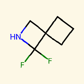 FC1(F)NCC12CCC2